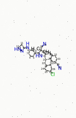 CC(N[C@@H](c1cccc(Nc2cc[nH]n2)c1)C(C)(C)C#N)C(Cc1ccc(Cl)cc1)c1cccc(C#N)c1